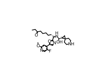 CCC(=O)CCCCC[C@H](NC(O)[C@H]1CC12CCNCC2)c1ncc(-c2cc(OC)ncc2F)o1